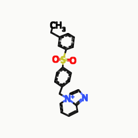 CCc1cccc(S(=O)(=O)c2ccc(C[N+]34C=CC=CC3=NC=C4)cc2)c1